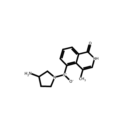 Cc1c[nH]c(=O)c2cccc([S+]([O-])N3CCC(N)C3)c12